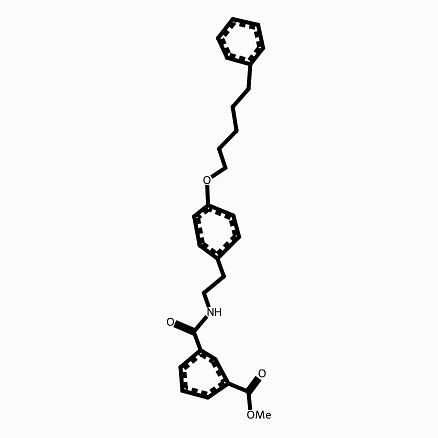 COC(=O)c1cccc(C(=O)NCCc2ccc(OCCCCCc3ccccc3)cc2)c1